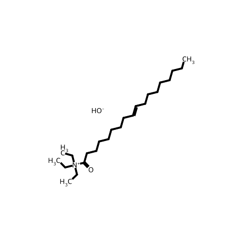 CCCCCCCCC=CCCCCCCCC(=O)[N+](CC)(CC)CC.[OH-]